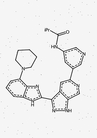 CC(C)C(=O)Nc1cncc(-c2cc3c(-c4nc5c(N6CCCCC6)cccc5[nH]4)n[nH]c3cn2)c1